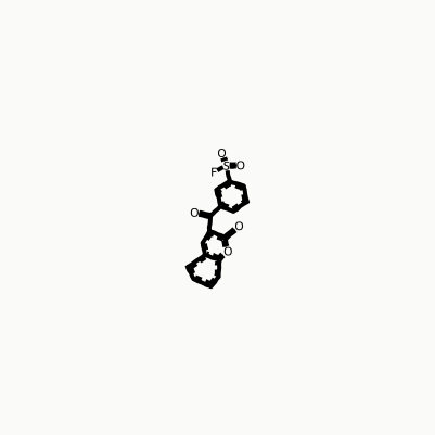 O=C(c1cccc(S(=O)(=O)F)c1)c1cc2ccccc2oc1=O